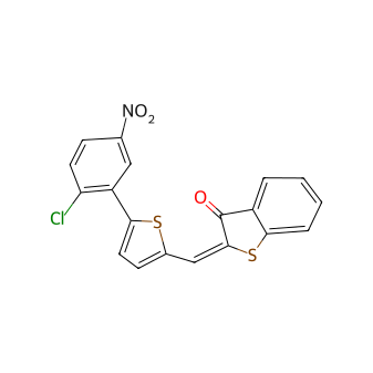 O=C1/C(=C\c2ccc(-c3cc([N+](=O)[O-])ccc3Cl)s2)Sc2ccccc21